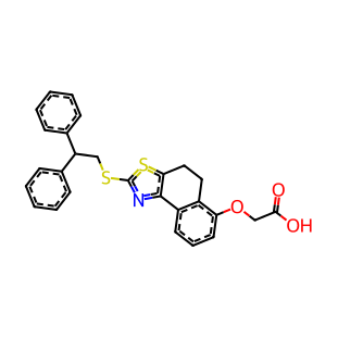 O=C(O)COc1cccc2c1CCc1sc(SCC(c3ccccc3)c3ccccc3)nc1-2